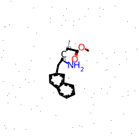 COC(=O)[C@@H](C)C[C@@H](N)Cc1ccc2ccccc2c1